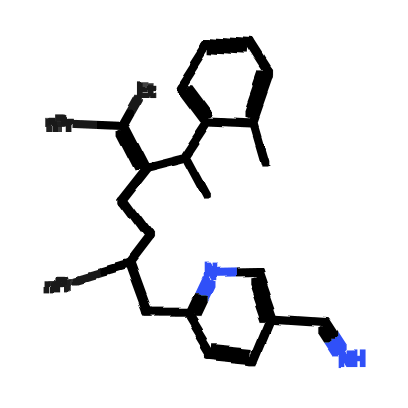 CCC/C(CC)=C(\CCC(CCC)Cc1ccc(C=N)cn1)C(C)c1ccccc1C